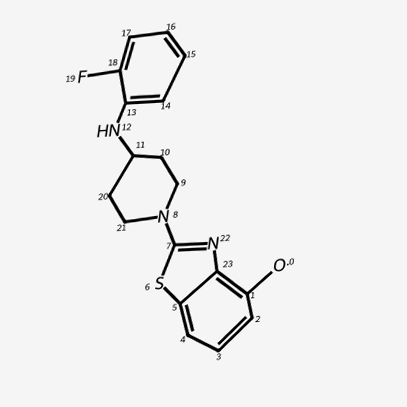 [O]c1cccc2sc(N3CCC(Nc4ccccc4F)CC3)nc12